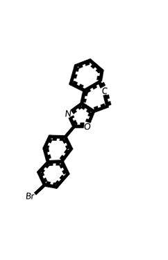 Brc1ccc2cc(-c3nc4c(ccc5ccccc54)o3)ccc2c1